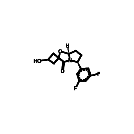 O=C1N2[C@H](CC[C@H]2c2cc(F)cc(F)c2)OC12CC(O)C2